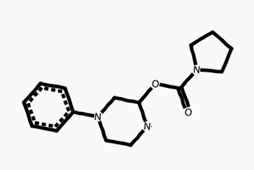 O=C(OC1CN(c2ccccc2)CC[N]1)N1CCCC1